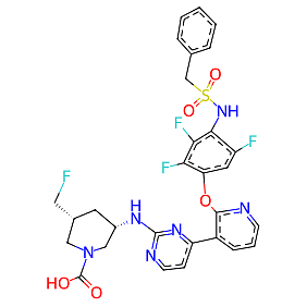 O=C(O)N1C[C@H](CF)C[C@H](Nc2nccc(-c3cccnc3Oc3cc(F)c(NS(=O)(=O)Cc4ccccc4)c(F)c3F)n2)C1